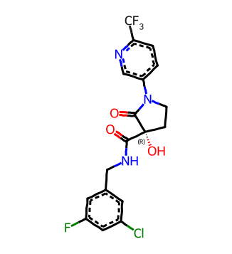 O=C(NCc1cc(F)cc(Cl)c1)[C@]1(O)CCN(c2ccc(C(F)(F)F)nc2)C1=O